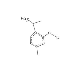 CCOc1cc(C)ccc1C(C)C(=O)O